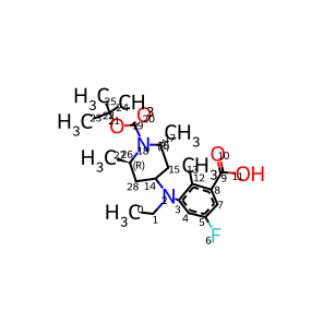 CCN(c1cc(F)cc(C(=O)O)c1C)C1C[C@@H](C)N(C(=O)OC(C)(C)C)[C@H](C)C1